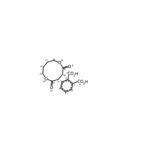 O=C(O)c1ccccc1C(=O)O.O=C1CCC(=O)OCCCCO1